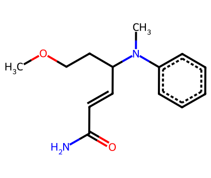 COCCC(C=CC(N)=O)N(C)c1ccccc1